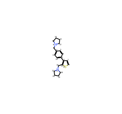 c1cc(-c2ccc(CN3CCCC3)cc2)c(CN2CCCC2)s1